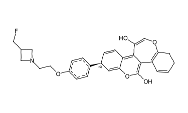 OC1=COC2=C(C=CCC2)C2=C(O)OC3=C[C@@H](c4ccc(OCCN5CC(CF)C5)cc4)C=CC3=C12